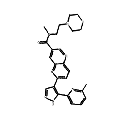 Cc1cccc(-c2[nH]ncc2-c2ccc3ncc(C(=O)N(C)CCN4CCOCC4)cc3n2)n1